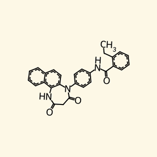 CCc1ccccc1C(=O)Nc1ccc(N2C(=O)CC(=O)Nc3c2ccc2ccccc32)cc1